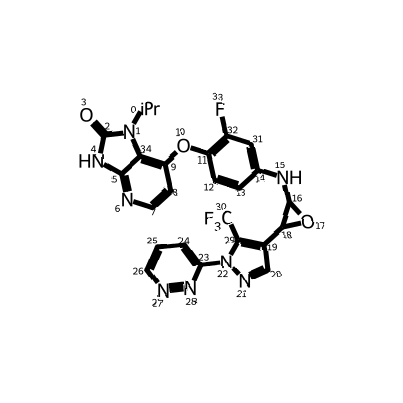 CC(C)n1c(=O)[nH]c2nccc(Oc3ccc(NC4OC4c4cnn(-c5cccnn5)c4C(F)(F)F)cc3F)c21